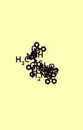 CC1=NC2=CN(C(=O)OC(c3ccccc3)c3ccccc3)NN2C(SCC2=C(C(=O)OC(c3ccccc3)c3ccccc3)N3C(=O)[C@@H](NC(=O)C(=NOC(=O)c4ccco4)c4nc(C(c5ccccc5)(c5ccccc5)c5ccccc5)sc4N)[C@H]3SC2)=C1